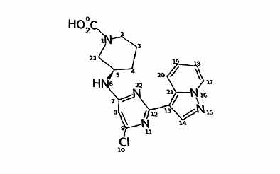 O=C(O)N1CCC[C@@H](Nc2cc(Cl)nc(-c3cnn4ccccc34)n2)C1